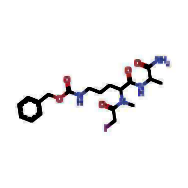 CC(NC(=O)C(CCCNC(=O)OCc1ccccc1)N(C)C(=O)CI)C(N)=O